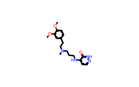 COc1ccc(CCN(C)CCCNc2ccn[nH]c2=O)cc1OC